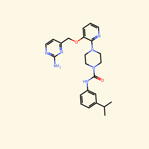 CC(C)c1cccc(NC(=O)N2CCN(c3ncccc3OCc3ccnc(N)n3)CC2)c1